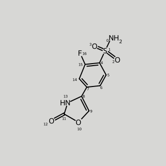 NS(=O)(=O)c1ccc(-c2coc(=O)[nH]2)cc1F